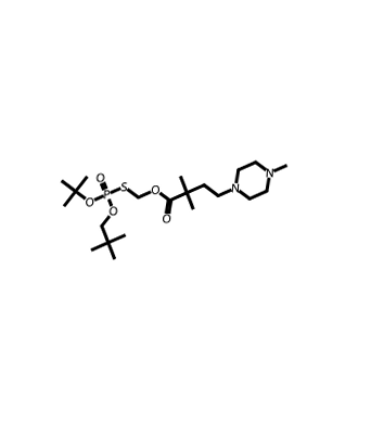 CN1CCN(CCC(C)(C)C(=O)OCSP(=O)(OCC(C)(C)C)OC(C)(C)C)CC1